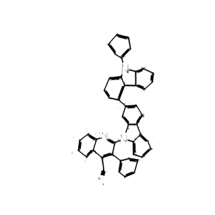 N#Cc1c(-c2ccccc2)c(-n2c3ccccc3c3ccc(-c4cccc5c4c4ccccc4n5-c4ccccc4)cc32)nc2ccccc12